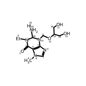 CCN1C(=O)c2c(ncn2C)N(COC(CO)CO)C1N.I